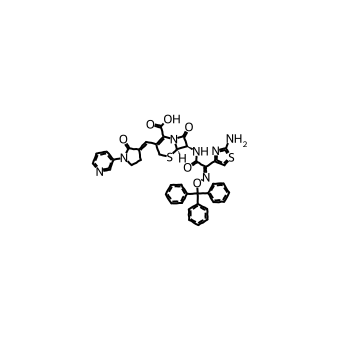 Nc1nc(/C(=N/OC(c2ccccc2)(c2ccccc2)c2ccccc2)C(=O)N[C@@H]2C(=O)N3C(C(=O)O)=C(/C=C4\CCN(c5cccnc5)C4=O)CS[C@H]23)cs1